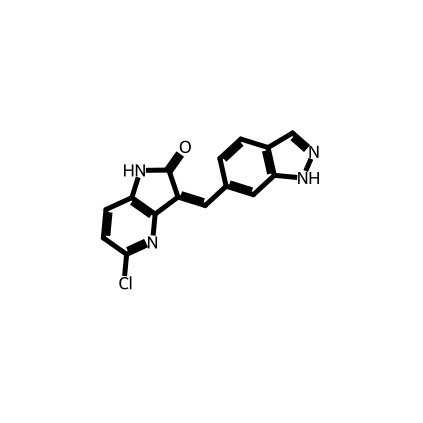 O=C1Nc2ccc(Cl)nc2C1=Cc1ccc2cn[nH]c2c1